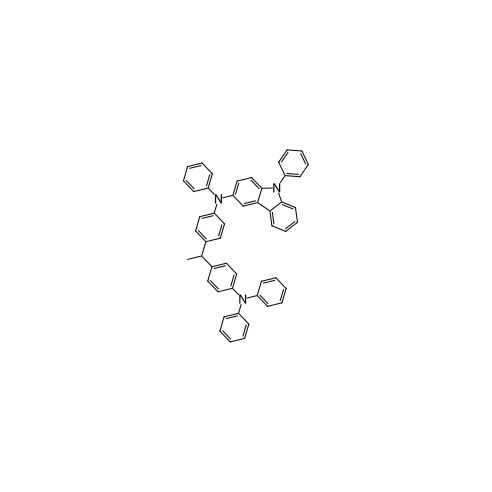 CC(c1ccc(N(c2ccccc2)c2ccccc2)cc1)c1ccc(N(c2ccccc2)c2ccc3c(c2)c2ccccc2n3-c2ccccc2)cc1